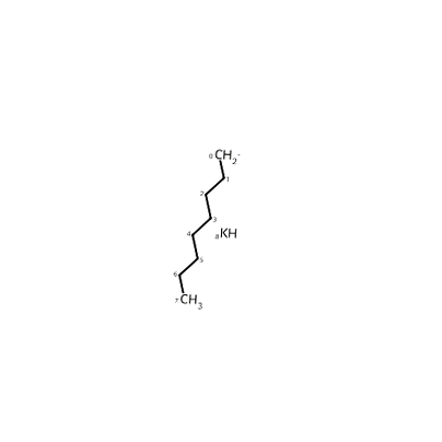 [CH2]CCCCCCC.[KH]